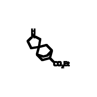 CCOC(=O)C1CC2CCC1CC21CCNC1